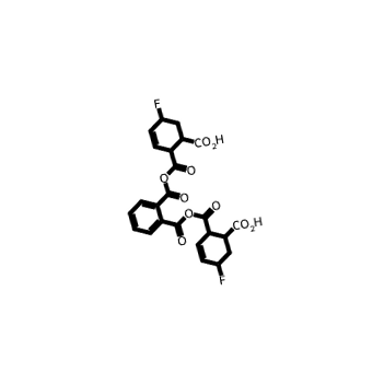 O=C(OC(=O)C1C=CC(F)CC1C(=O)O)c1ccccc1C(=O)OC(=O)C1C=CC(F)CC1C(=O)O